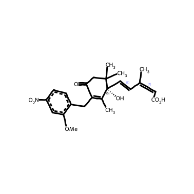 COc1cc([N+](=O)[O-])ccc1CC1=C(C)[C@](O)(/C=C/C(C)=C\C(=O)O)C(C)(C)CC1=O